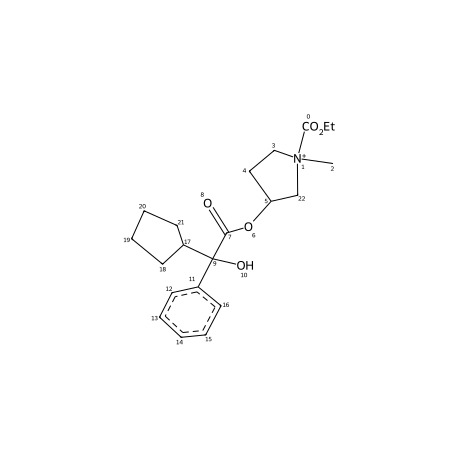 CCOC(=O)[N+]1(C)CCC(OC(=O)C(O)(c2ccccc2)C2CCCC2)C1